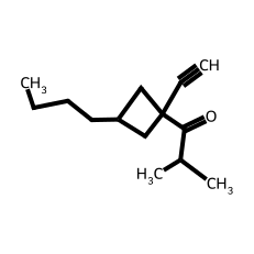 C#CC1(C(=O)C(C)C)CC(CCCC)C1